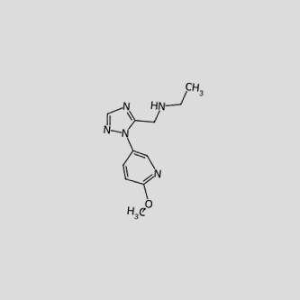 CCNCc1ncnn1-c1ccc(OC)nc1